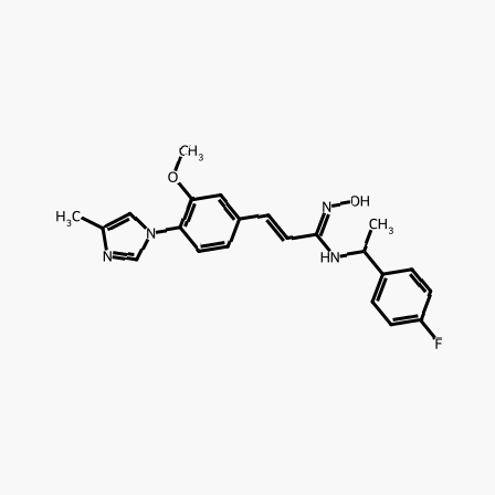 COc1cc(/C=C/C(=NO)NC(C)c2ccc(F)cc2)ccc1-n1cnc(C)c1